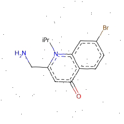 CC(C)n1c(CN)cc(=O)c2ccc(Br)cc21